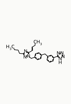 CCC=Cc1nc(CCCC)nn1Cc1ccc(Cc2cccc(-c3nnn[nH]3)c2)cc1